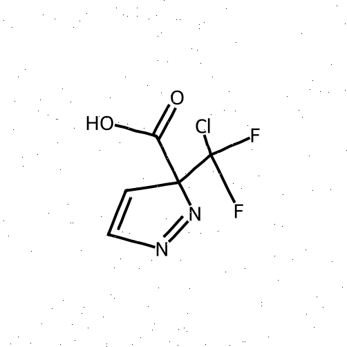 O=C(O)C1(C(F)(F)Cl)C=CN=N1